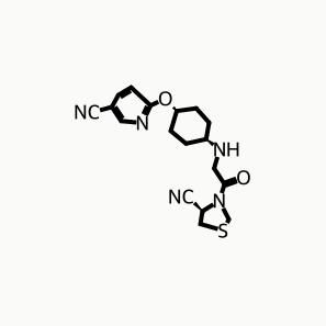 N#Cc1ccc(O[C@H]2CC[C@H](NCC(=O)N3CSC[C@H]3C#N)CC2)nc1